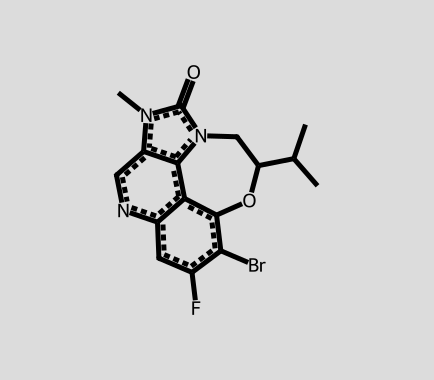 CC(C)C1Cn2c(=O)n(C)c3cnc4cc(F)c(Br)c(c4c32)O1